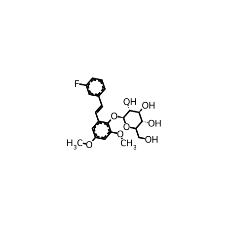 COc1cc(/C=C/c2cccc(F)c2)c(O[C@@H]2OC(CO)[C@@H](O)[C@H](O)[C@H]2O)c(OC)c1